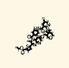 CCOC(=O)c1ccc(C2=Nc3ncccc3N(C(=O)c3ccc(NC(=O)c4cc(C)cnc4N4CC5(CCOCC5COC)C4)cc3)[C@@H]2C)s1